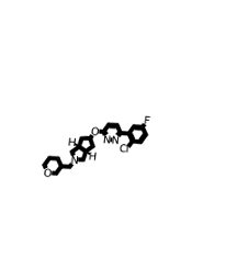 Fc1ccc(Cl)c(-c2ccc(OC3C[C@@H]4CN(CC5CCCOC5)C[C@@H]4C3)nn2)c1